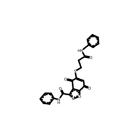 O=C(CCSC1=CC(=O)c2onc(C(=O)Nc3ccccc3)c2C1=O)Nc1ccccc1